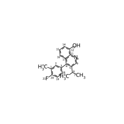 Cc1cc(-c2c(C(C)C)cnc3c(O)cccc23)ccc1F